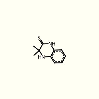 CC1(C)Nc2ccccc2NC1=S